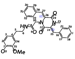 COc1ccc(CCNC(=O)Cn2c(=O)/c(=C/c3ccccc3)n(C)c(=O)/c2=C/c2ccccc2)cc1OC